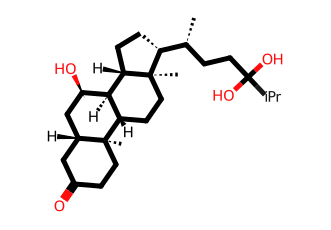 CC(C)C(O)(O)CC[C@@H](C)[C@H]1CC[C@H]2[C@@H]3[C@H](O)C[C@H]4CC(=O)CC[C@]4(C)[C@H]3CC[C@]12C